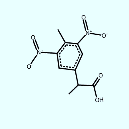 Cc1c([N+](=O)[O-])cc(C(C)C(=O)O)cc1[N+](=O)[O-]